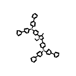 CCp1c(-c2ccc(N(c3ccc(-c4ccccc4)cc3)c3ccc(-c4ccccc4)cc3)cc2)cc(C)c1-c1ccc(N(c2ccc(-c3ccccc3)cc2)c2ccc(-c3ccccc3)cc2)cc1